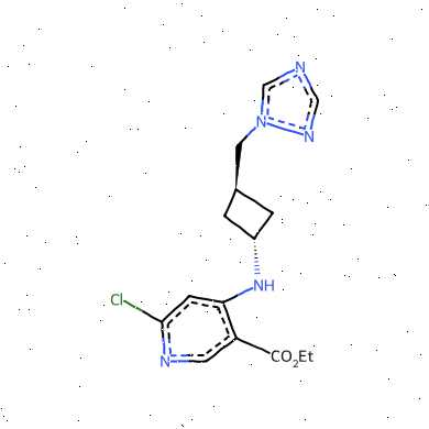 CCOC(=O)c1cnc(Cl)cc1N[C@H]1C[C@H](Cn2cncn2)C1